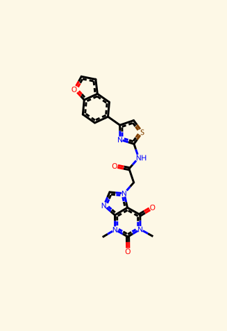 Cn1c(=O)c2c(ncn2CC(=O)Nc2nc(-c3ccc4occc4c3)cs2)n(C)c1=O